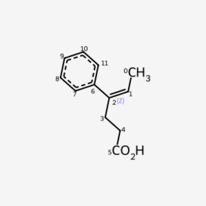 C/C=C(/CCC(=O)O)c1ccccc1